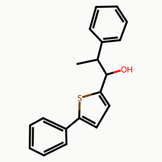 CC(c1ccccc1)C(O)c1ccc(-c2ccccc2)s1